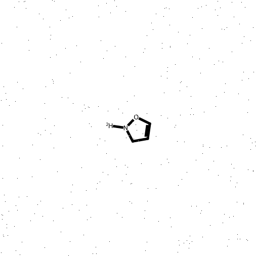 [2H]N1CC=CO1